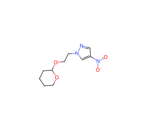 O=[N+]([O-])c1cnn(CCOC2CCCCO2)c1